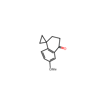 COc1ccc2c(c1)C(=O)CCC21CC1